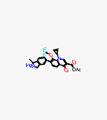 CC(=O)OC(=O)c1cn(C2CC2)c2c(OC(F)F)c(-c3ccc4c(c3)CNC4C)ccc2c1=O